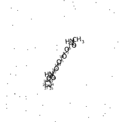 CNC(=O)CCOCCOCCOCCOCCNC(=O)OC1CC/C=C/CCC1